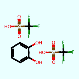 O=S(=O)(O)C(F)(F)F.O=S(=O)(O)C(F)(F)F.Oc1ccccc1O